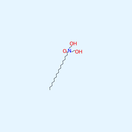 CCCCCCCCCCCCCCCCCC(=O)N(CCO)CCO